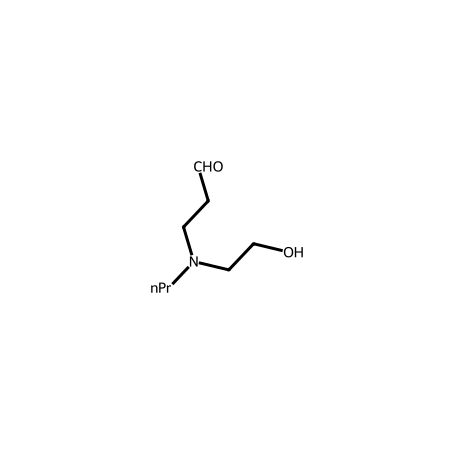 CCCN(CCO)CCC=O